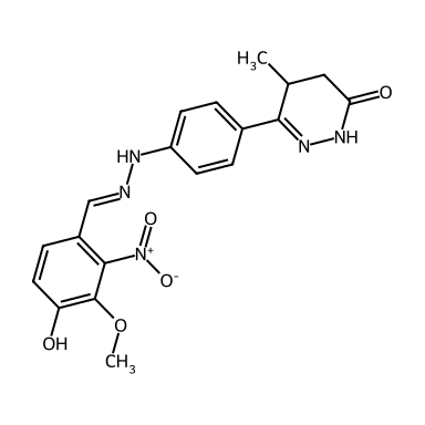 COc1c(O)ccc(C=NNc2ccc(C3=NNC(=O)CC3C)cc2)c1[N+](=O)[O-]